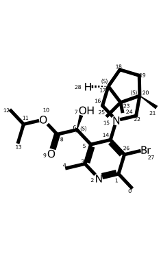 Cc1nc(C)c([C@H](O)C(=O)OC(C)C)c(N2C[C@H]3CC[C@](C)(C2)C3(C)C)c1Br